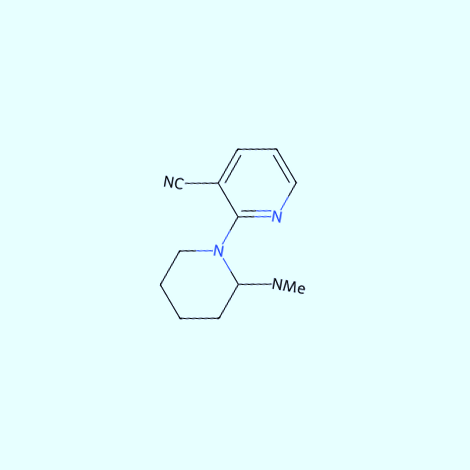 CNC1CCCCN1c1ncccc1C#N